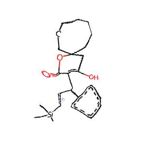 C[Si](C)(C)/C=C/C(C1=C(O)CC2(CCCCCCC2)OC1=O)c1ccccc1